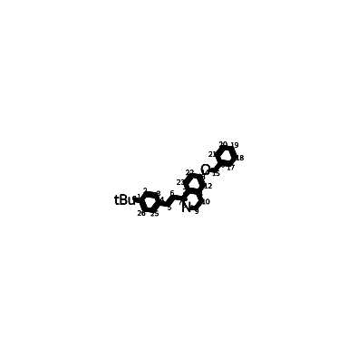 CC(C)(C)c1ccc(C=CC2=NCCc3cc(OCc4ccccc4)ccc32)cc1